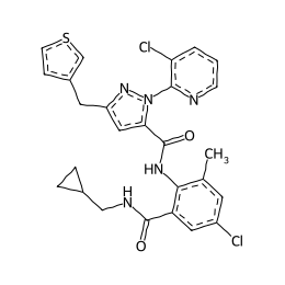 Cc1cc(Cl)cc(C(=O)NCC2CC2)c1NC(=O)c1cc(Cc2ccsc2)nn1-c1ncccc1Cl